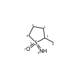 CC1CCCS1(=N)=O